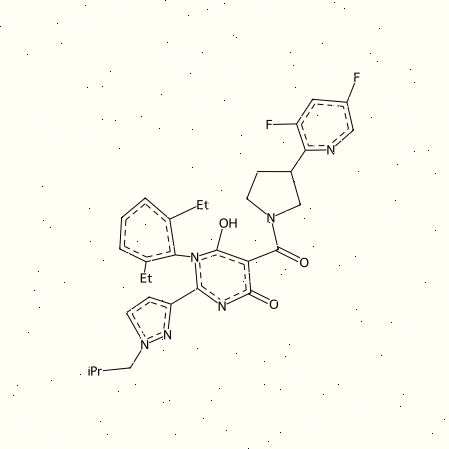 CCc1cccc(CC)c1-n1c(-c2ccn(CC(C)C)n2)nc(=O)c(C(=O)N2CCC(c3ncc(F)cc3F)C2)c1O